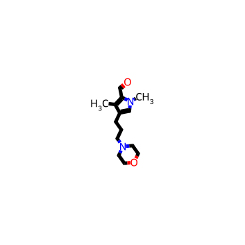 Cc1c(CCCN2CCOCC2)cn(C)c1C=O